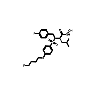 CC(C)C[C@H](C(=O)NO)N(Cc1ccc(F)cc1)S(=O)(=O)c1ccc(OCCCCF)cc1